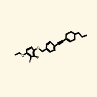 CCCC1CC=C(C#Cc2ccc(COc3ccc(OCC)c(F)c3F)cc2)CC1